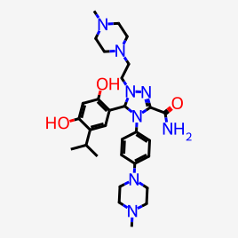 CC(C)c1cc(C2N(CCN3CCN(C)CC3)N=C(C(N)=O)N2c2ccc(N3CCN(C)CC3)cc2)c(O)cc1O